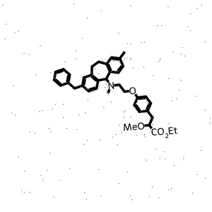 CCOC(=O)C(Cc1ccc(OCCN(C)C2c3ccc(C)cc3CCc3cc(Cc4ccccc4)ccc32)cc1)OC